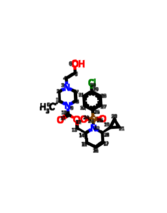 C[C@@H]1CN(CCO)CCN1C(=O)OC[C@@H]1CCC[C@H](C2CC2)N1S(=O)(=O)c1ccc(Cl)cc1